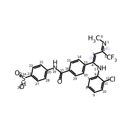 C/N=C(\C=C(/Nc1ccccc1Cl)c1ccc(C(=O)Nc2ccc([SH](=O)=O)cc2)cc1)C(F)(F)F